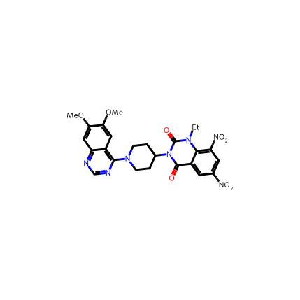 CCn1c(=O)n(C2CCN(c3ncnc4cc(OC)c(OC)cc34)CC2)c(=O)c2cc([N+](=O)[O-])cc([N+](=O)[O-])c21